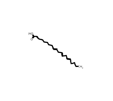 CCCCC=CCC=CCC=CCCCCCCCC(=O)O